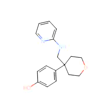 Oc1ccc(C2(CNc3ccccn3)CCOCC2)cc1